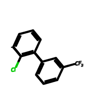 FC(F)(F)c1cccc(-c2ccc[c]c2Cl)c1